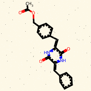 CC(=O)OCc1ccc(/C=c2\[nH]c(=O)/c(=C/c3ccccc3)[nH]c2=O)cc1